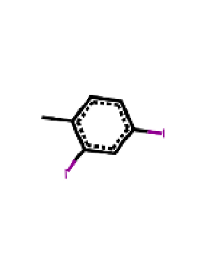 Cc1ccc(I)cc1I